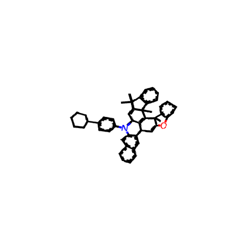 CC1(C)C2=CC3(C)C4=C(C5(C)C(=CC4(C)c4cc6ccccc6cc4N3c3ccc(C4CCCCC4)cc3)Oc3ccccc35)C2(C)c2ccccc21